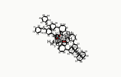 CC1=CC2=C(C=CC=CC2c2ccc(Sc3ccccc3)cc2)[C]12[SiH](C)[C]1(C(C)=CC3=C1C=CC=CC3c1ccc(Sc3ccccc3)cc1)[Zr]21([Cl])([Cl])[C]2(C(C)=CC3=C2C=CC=CC3c2ccc(Sc3ccccc3)cc2)[SiH](C)[C]12C(C)=CC1=C2C=CC=CC1c1ccc(Sc2ccccc2)cc1